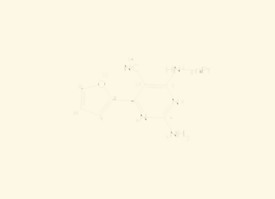 CCCNc1nc(N)nc(-c2ccco2)c1C#N